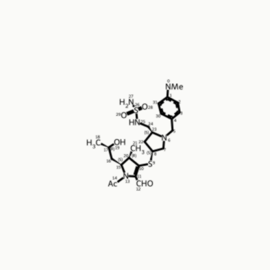 CNc1ccc(CN2C[C@@H](SC3=C(C=O)N(C(C)=O)[C@@H](C[C@@H](C)O)[C@H]3C)C[C@H]2CNS(N)(=O)=O)cc1